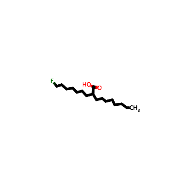 CCCCCCCCC(CCCCCCCF)C(=O)O